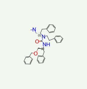 CN(C)C[C@H](Cc1ccccc1)N(CCc1ccccc1)C(=O)N[C@H](COCc1ccccc1)Cc1ccccc1